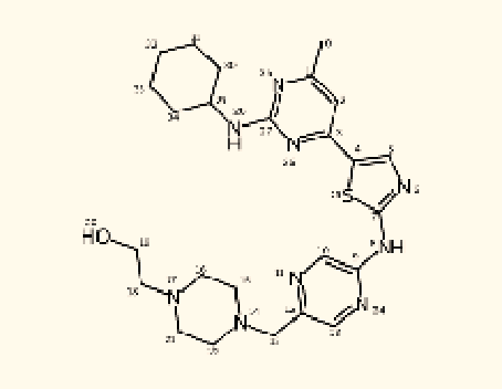 Cc1cc(-c2cnc(Nc3cnc(CN4CCN(CCO)CC4)cn3)s2)nc(NC2CCCCC2)n1